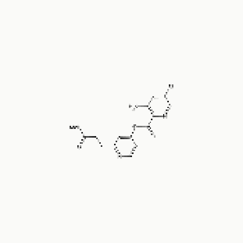 CNC(=O)CCc1cc(NC(=O)c2ncc(Cl)cc2N)ccn1